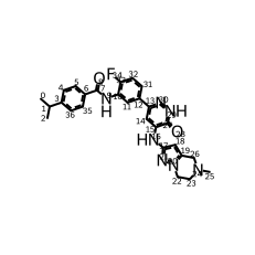 CC(C)c1ccc(C(=O)Nc2cc(-c3cc(Nc4cc5n(n4)CCN(C)C5)c(=O)[nH]n3)ccc2F)cc1